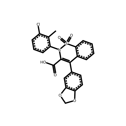 Cc1c(Cl)cccc1N1C(C(=O)O)=C(c2ccc3c(c2)OCO3)c2ccccc2S1(=O)=O